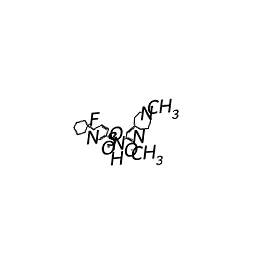 COc1nc2c(cc1NS(=O)(=O)c1ccc(C3(F)CCCCC3)nc1)CCN(C)CC2